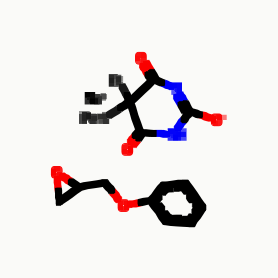 CCCC(C)C1(CC)C(=O)N=C([O-])NC1=O.[Na+].c1ccc(OCC2CO2)cc1